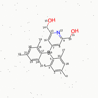 Cc1cc(C)c(B(c2cc(CO)nc(CO)c2)c2c(C)cc(C)cc2C)c(C)c1